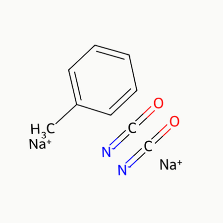 Cc1ccccc1.[N-]=C=O.[N-]=C=O.[Na+].[Na+]